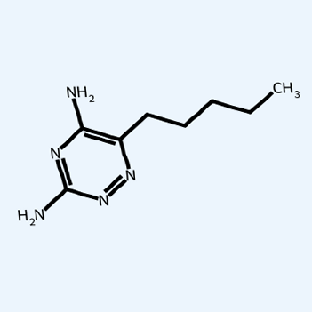 CCCCCc1nnc(N)nc1N